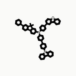 CC1(C)c2cc(-c3ccccc3)ccc2-c2ccc(N(c3ccc(-c4ccc(-n5c6ccccc6c6ccccc65)cc4)cc3)c3ccc(-c4ccc5oc6ccccc6c5c4)cc3)cc21